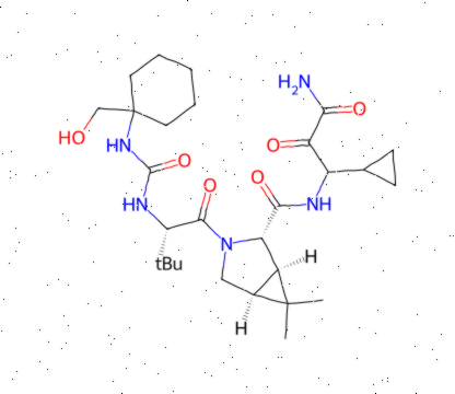 CC(C)(C)[C@H](NC(=O)NC1(CO)CCCCC1)C(=O)N1C[C@H]2[C@@H]([C@H]1C(=O)NC(C(=O)C(N)=O)C1CC1)C2(C)C